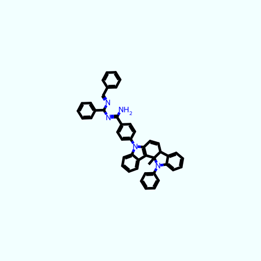 CC12c3c(n(-c4ccc(/C(N)=N/C(/N=C/c5ccccc5)c5ccccc5)cc4)c4ccccc34)C=CC1c1ccccc1N2c1ccccc1